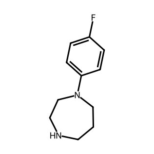 Fc1ccc(N2CCCNCC2)cc1